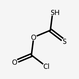 O=C(Cl)OC(=S)S